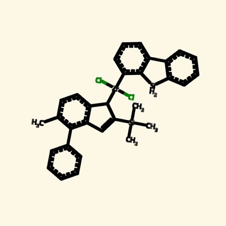 Cc1ccc2c(c1-c1ccccc1)C=C([Si](C)(C)C)[CH]2[Zr]([Cl])([Cl])[c]1cccc2c1[SiH2]c1ccccc1-2